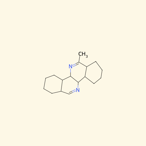 CC1=NC2C3CCCCC3C=NC2C2CCCCC12